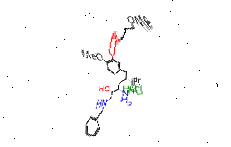 COCCCOc1cc(C[C@@H](C[C@H](N)[C@@H](O)CNCc2ccccc2)C(C)C)ccc1OC.Cl.Cl